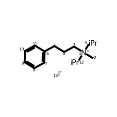 CC(C)[N+](C)(CCCc1ccccc1)C(C)C.[I-]